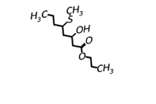 CCCOC(=O)CC(O)CC(CCC)SC